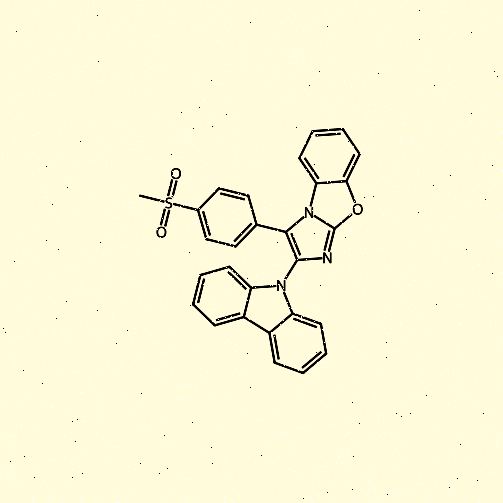 CS(=O)(=O)c1ccc(-c2c(-n3c4ccccc4c4ccccc43)nc3oc4ccccc4n23)cc1